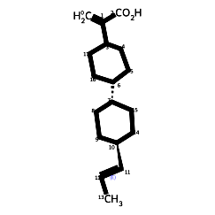 C=C(C(=O)O)C1CCC([C@H]2CC[C@H](/C=C/C)CC2)CC1